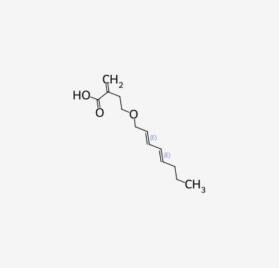 C=C(CCOC/C=C/C=C/CCC)C(=O)O